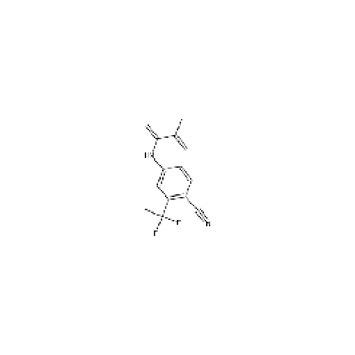 C=C(C)C(=C)Nc1ccc(C#N)c(C(F)(F)F)c1